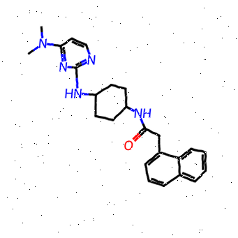 CN(C)c1ccnc(NC2CCC(NC(=O)Cc3cccc4ccccc34)CC2)n1